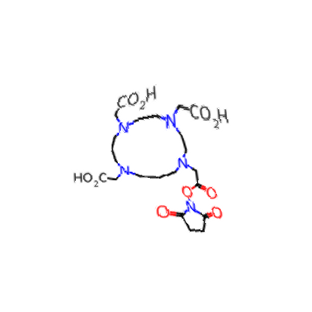 O=C(O)CN1CCCN(CC(=O)O)CCN(CC(=O)O)CCN(CC(=O)ON2C(=O)CCC2=O)CCC1